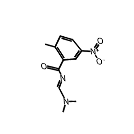 Cc1ccc([N+](=O)[O-])cc1C(=O)N=CN(C)C